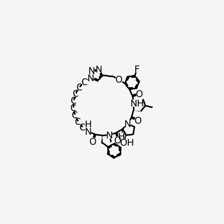 CC(C)C[C@H]1NC(=O)c2ccc(F)cc2OCc2cn(nn2)CCCCCCCCNC(=O)[C@H](Cc2ccccc2)N(C)C(=O)[C@H]2[C@H](O)CCN2C1=O